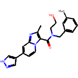 COc1cccc(CN(CCO)C(=O)c2c(C)nc3cc(-c4cn[nH]c4)ccn23)c1